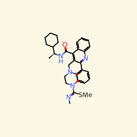 C/N=C(\SC)N1CCN(Cc2c(-c3ccccc3)nc3ccccc3c2C(=O)N[C@@H](C)C2CCCCC2)CC1